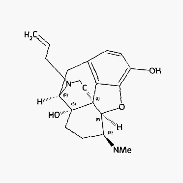 C=CCN1CC[C@]23c4c5ccc(O)c4O[C@H]2[C@@H](NC)CC[C@@]3(O)[C@H]1C5